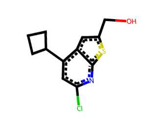 OCc1cc2c(C3CCC3)cc(Cl)nc2s1